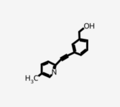 Cc1ccc(C#Cc2cccc(CO)c2)nc1